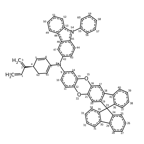 C=CC(=C)[C@H]1C=CC(N(c2ccc3c(c2)Oc2cc4c(cc2O3)C2(c3ccccc3-c3ccccc32)c2ccccc2-4)c2ccc3c(c2)c2ccccc2n3-c2ccccc2)=CC1